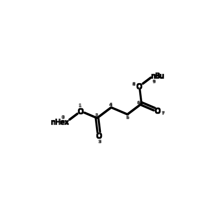 CCCCCCOC(=O)CCC(=O)OCCCC